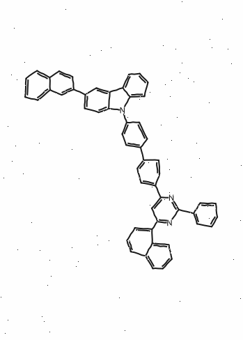 c1ccc(-c2nc(-c3ccc(-c4ccc(-n5c6ccccc6c6cc(-c7ccc8ccccc8c7)ccc65)cc4)cc3)cc(-c3cccc4ccccc34)n2)cc1